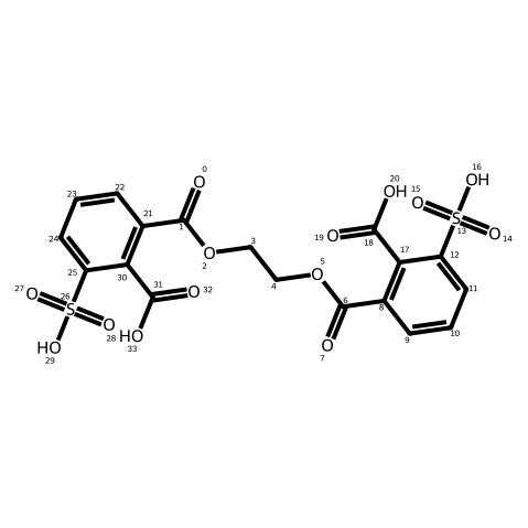 O=C(OCCOC(=O)c1cccc(S(=O)(=O)O)c1C(=O)O)c1cccc(S(=O)(=O)O)c1C(=O)O